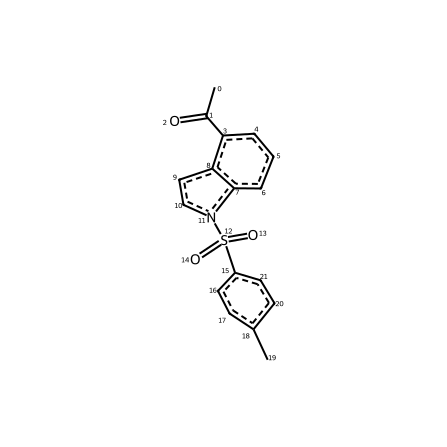 CC(=O)c1cccc2c1ccn2S(=O)(=O)c1ccc(C)cc1